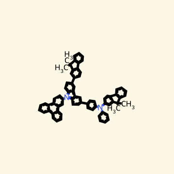 CC1(C)c2ccccc2-c2ccc(-c3ccc4c(c3)c3cc(-c5ccc(N(c6ccccc6)c6ccc7c(c6)C(C)(C)c6ccccc6-7)cc5)ccc3n4-c3ccc4c5ccccc5c5ccccc5c4c3)cc21